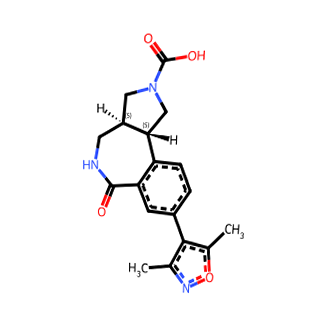 Cc1noc(C)c1-c1ccc2c(c1)C(=O)NC[C@H]1CN(C(=O)O)C[C@H]21